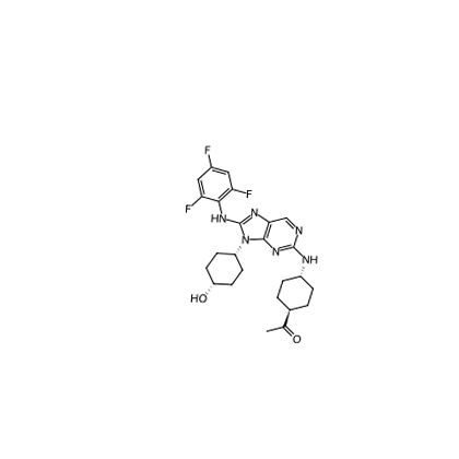 CC(=O)[C@H]1CC[C@H](Nc2ncc3nc(Nc4c(F)cc(F)cc4F)n([C@H]4CC[C@@H](O)CC4)c3n2)CC1